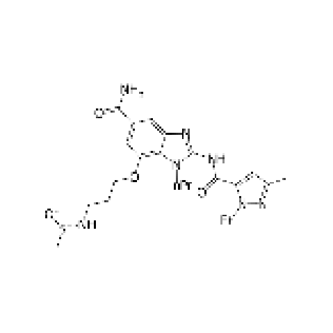 CCCn1c(NC(=O)c2cc(C)nn2CC)nc2cc(C(N)=O)cc(OCCCN[S+](C)[O-])c21